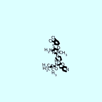 Cn1c(N2CCN(C(=O)[C@@H](Cc3ccncc3)NC(=O)OC(C)(C)C)CC2)nc(N)c(Sc2cccc(Cl)c2Cl)c1=O